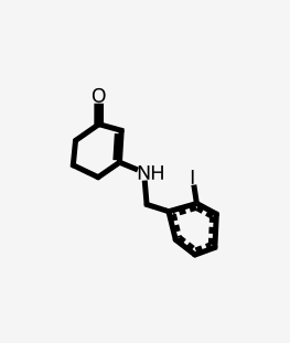 O=C1C=C(NCc2ccccc2I)CCC1